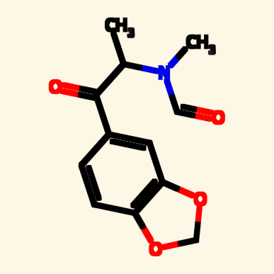 CC(C(=O)c1ccc2c(c1)OCO2)N(C)C=O